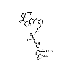 CNc1c(O)ccc(CCNCCN(C(=O)CCOCCc2cccc(CN3CCC4(CC3)CN(C(=O)c3ccn(CC5CC5)n3)CCO4)c2)C(C)C)c1OCC=O